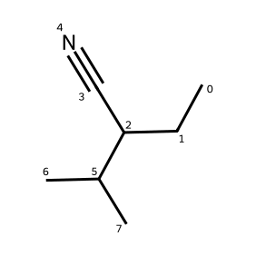 CCC(C#N)C(C)C